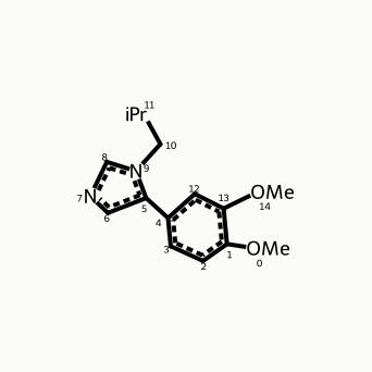 COc1ccc(-c2cncn2CC(C)C)cc1OC